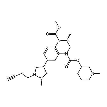 COC(=O)N1c2ccc(C3CN(C)N(CCC#N)C3)cc2N(C(=O)OC2CCCN(C)C2)C[C@@H]1C